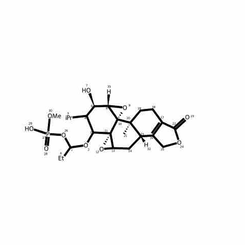 CCC(OC1C(C(C)C)[C@@H](O)[C@@H]2O[C@]23[C@]12OC2C[C@H]1C2=C(CC[C@@]13C)C(=O)OC2)OP(=O)(O)OC